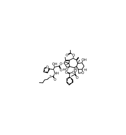 C=C1[C@H](OC(C)=O)C2=C(C)[C@@H](OC(=O)[C@H](O)[C@@H](NC(=O)SCCCC)c3ccco3)C[C@@](O)([C@@H](OC(=O)c3ccccc3)[C@@H]3[C@]4(OC(C)=O)CO[C@@H]4C[C@H](O)[C@@]13C)C2(C)C